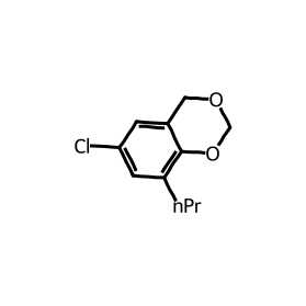 CCCc1cc(Cl)cc2c1OCOC2